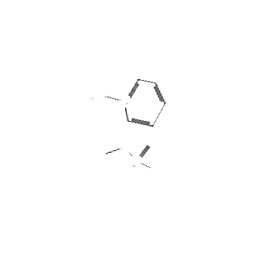 CCCC[n+]1ccccc1.CCOS(=O)(=O)[O-]